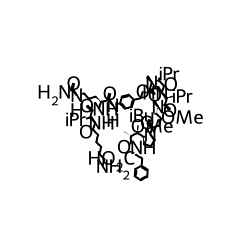 CC[C@H](C)[C@@H]([C@@H](CC(=O)N1CCC[C@H]1[C@H](OC)[C@@H](C)C(=O)N[C@@H](Cc1ccccc1)C(=O)O)OC)N(C)C(=O)[C@@H](NC(=O)C(C(C)C)N(C)C(=O)OCc1ccc(NC(=O)[C@H](CCCNC(N)=O)NC(=O)C(NC(=O)CCCCCN)C(C)C)cc1)C(C)C